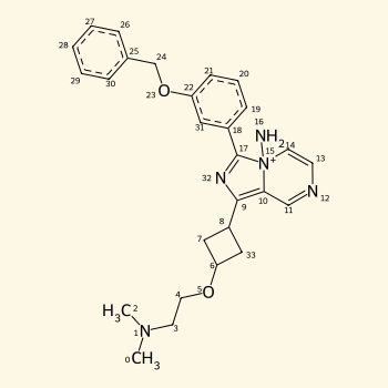 CN(C)CCOC1CC(C2=C3C=NC=C[N+]3(N)C(c3cccc(OCc4ccccc4)c3)=N2)C1